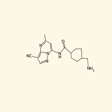 Cc1cc(NC(=O)C2CCC(CN)CC2)n2ncc(C#N)c2n1